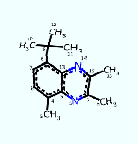 Cc1nc2c(C)ccc(C(C)(C)C)c2nc1C